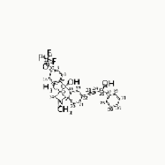 CN1CC(C)(C(O)(c2ccc(OC(F)(F)F)cc2)c2cccc(C#C[C@@H](O)c3ccccc3)c2)C1